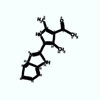 CC(=O)c1c(C)[nH]c(-c2nc3ccccc3[nH]2)c1C